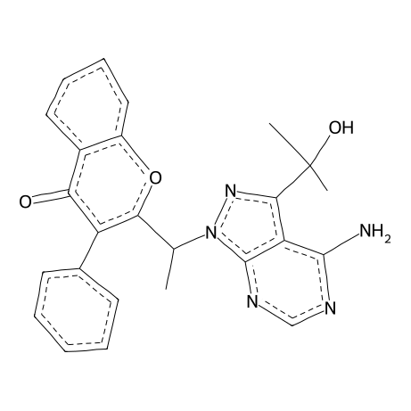 CC(c1oc2ccccc2c(=O)c1-c1ccccc1)n1nc(C(C)(C)O)c2c(N)ncnc21